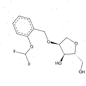 OC[C@H]1OC[C@H](OCc2ccccc2OC(F)F)[C@@H]1O